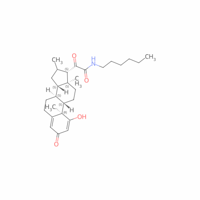 CCCCCCNC(=O)C(=O)[C@H]1C(C)C[C@H]2[C@@H]3CCC4=CC(=O)C=C(O)[C@]4(C)[C@H]3CC[C@]12C